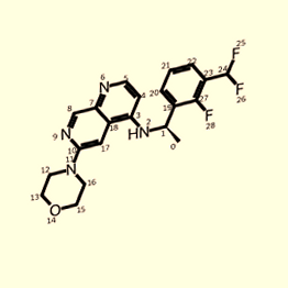 C[C@@H](Nc1ccnc2cnc(N3CCOCC3)cc12)c1cccc(C(F)F)c1F